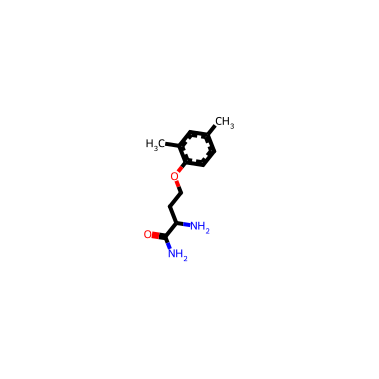 Cc1ccc(OCCC(N)C(N)=O)c(C)c1